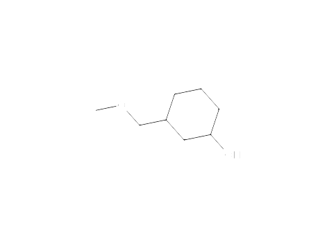 COCC1CCCC(O)C1